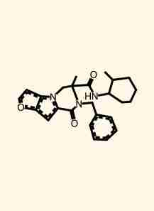 CC1CCCCC1NC(=O)C1(C)Cn2c(cc3occc32)C(=O)N1Cc1ccccc1